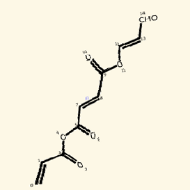 C=CC(=O)OC(=O)/C=C/C(=O)OC=CC=O